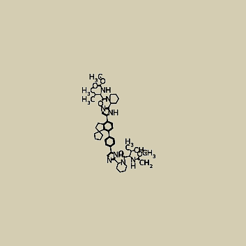 C=C(N[C@H](C(=O)N1CCCC[C@H]1c1ncc(-c2ccc(-c3ccc(-c4cnc([C@@H]5CCCCN5C(=O)[C@@H](NC(=O)OC)C(C)C)[nH]4)c4c3C3(CCCC3)CC4)cc2)[nH]1)C(C)C)OC